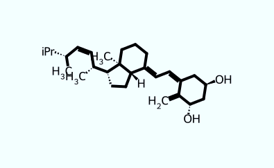 C=C1/C(=C\C=C2/CCC[C@]3(C)[C@@H]([C@H](C)/C=C\[C@H](C)C(C)C)CC[C@@H]23)C[C@@H](O)C[C@@H]1O